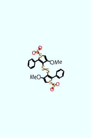 COC1=CS(=S(=O)=O)C(c2ccccc2)=C1SSC1=C(c2ccccc2)S(=S(=O)=O)C=C1OC